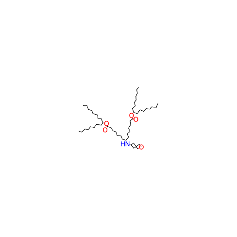 CCCCCCCCC(CCCCCCCC)OC(=O)CCCCCCC(CCCCCCC(=O)OC(CCCCCCCC)CCCCCCCC)NC1CC2(COC2)C1